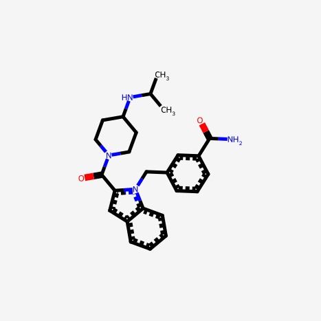 CC(C)NC1CCN(C(=O)c2cc3ccccc3n2Cc2cccc(C(N)=O)c2)CC1